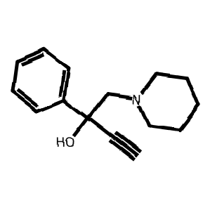 C#CC(O)(CN1CCCCC1)c1ccccc1